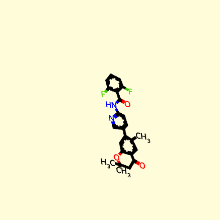 Cc1cc2c(cc1-c1ccc(NC(=O)c3c(F)cccc3F)nc1)OC(C)(C)CC2=O